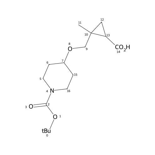 CC(C)(C)OC(=O)N1CCC(OCC2(C)CC2C(=O)O)CC1